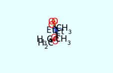 C=C(C)C(=O)OC(C)CC[N+](CC)(CC)C(C)CCS(=O)(=O)[O-]